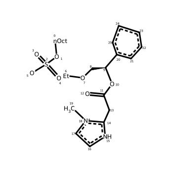 CCCCCCCCOS(=O)(=O)[O-].CCOC[C@H](OC(=O)Cc1[nH]cc[n+]1C)c1ccccc1